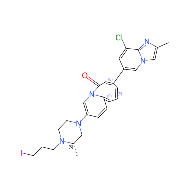 Cc1cn2cc(C3=C\C(=O)N4C=C(N5CCN(CCCI)[C@@H](C)C5)C=C\C4=C/C=C/3)cc(Cl)c2n1